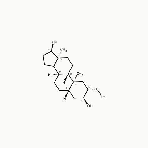 CCO[C@H]1C[C@@]2(C)[C@@H](CC[C@H]3C4CC[C@@H](C#N)[C@@]4(C)CC[C@@H]32)C[C@@H]1O